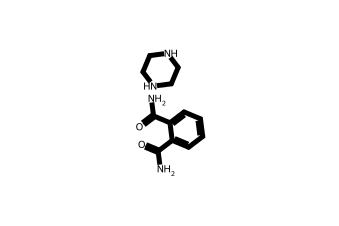 C1CNCCN1.NC(=O)c1ccccc1C(N)=O